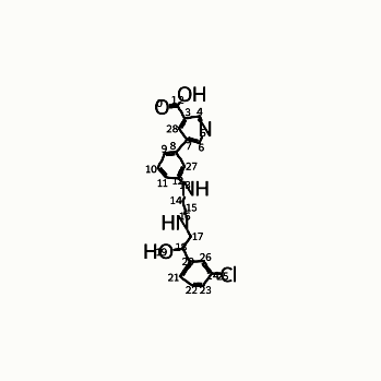 O=C(O)c1cncc(-c2cccc(NCCNCC(O)c3cccc(Cl)c3)c2)c1